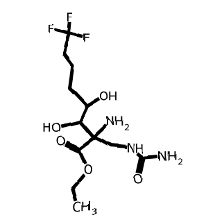 CCOC(=O)C(N)(CNC(N)=O)C(O)C(O)CCCC(F)(F)F